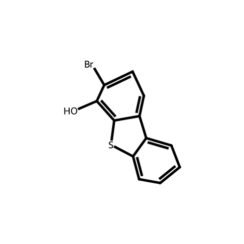 Oc1c(Br)ccc2c1sc1ccccc12